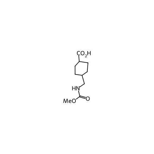 COC(=O)NCC1CCC(C(=O)O)CC1